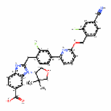 CC1(C)COC[C@H]1n1c(Cc2ccc(-c3cccc(OCc4ccc(C#N)cc4F)n3)cc2F)nc2ccc(C(=O)O)cc21